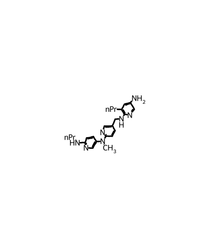 CCCNc1ccc(N(C)c2ccc(CNc3ncc(N)cc3CCC)cn2)cn1